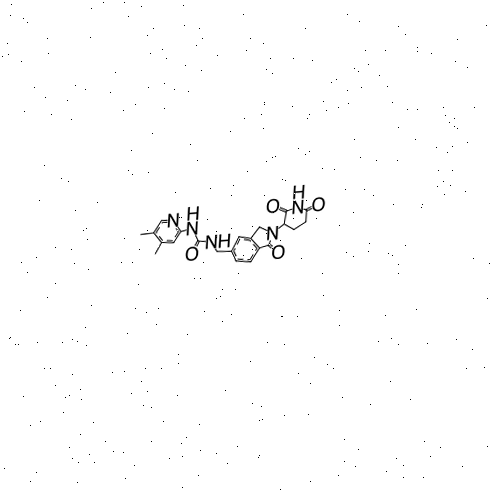 Cc1cnc(NC(=O)NCc2ccc3c(c2)CN(C2CCC(=O)NC2=O)C3=O)cc1C